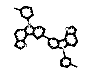 Cc1cccc(-n2c3ccc(-c4ccc5c(c4)c4c6occc6ccc4n5-c4cccc(C)c4)cc3c3c4occc4ccc32)c1